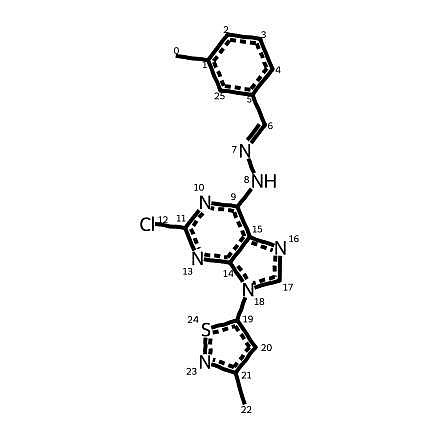 Cc1cccc(/C=N/Nc2nc(Cl)nc3c2ncn3-c2cc(C)ns2)c1